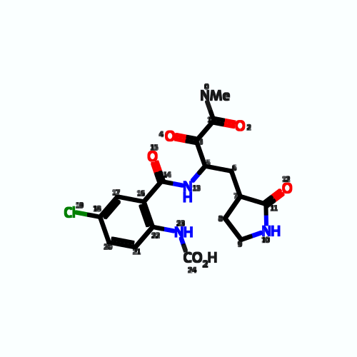 CNC(=O)C(=O)C(CC1CCNC1=O)NC(=O)c1cc(Cl)ccc1NC(=O)O